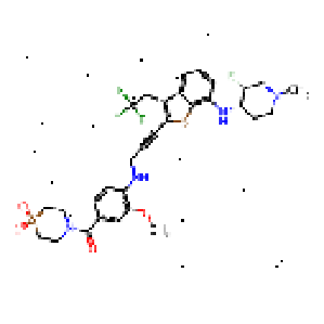 COc1cc(C(=O)N2CCS(=O)(=O)CC2)ccc1NCC#Cc1sc2c(N[C@H]3CCN(C)C[C@H]3F)cccc2c1CC(F)(F)F